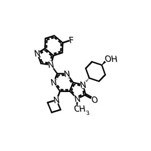 Cn1c(=O)n([C@H]2CC[C@H](O)CC2)c2nc(-n3cnc4ccc(F)cc43)nc(N3CCC3)c21